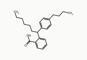 CCCCCCC(c1ccc(CCCC)cc1)c1ccccc1C(=O)O